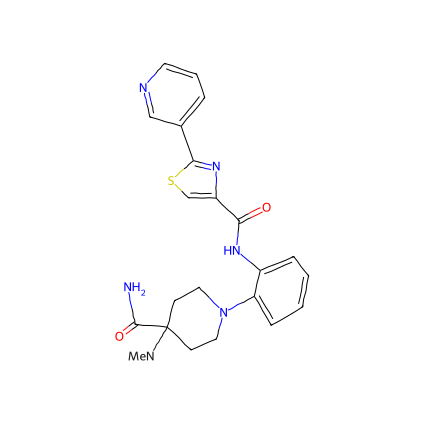 CNC1(C(N)=O)CCN(c2ccccc2NC(=O)c2csc(-c3cccnc3)n2)CC1